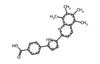 Cc1c(C)c(C)c2nc(-c3ccc(-c4ccc(C(=O)O)cc4)[nH]3)ccc2c1C